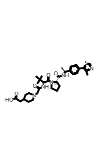 Cc1ncsc1-c1ccc([C@H](C)NC(=O)[C@@H]2CCCN2C(=O)[C@@H](NC(=O)CN2CCC(CC(=O)O)CC2)C(C)(C)C)cc1